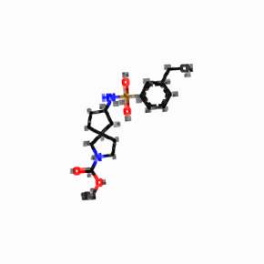 CC(C)(C)OC(=O)N1CCC2(CCC(NS(=O)(=O)c3cccc(CC#N)c3)C2)C1